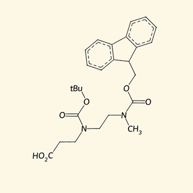 CN(CCN(CCC(=O)O)C(=O)OC(C)(C)C)C(=O)OCC1c2ccccc2-c2ccccc21